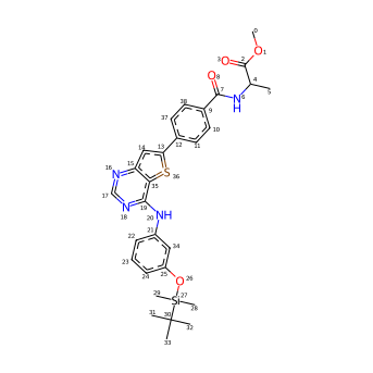 COC(=O)C(C)NC(=O)c1ccc(-c2cc3ncnc(Nc4cccc(O[Si](C)(C)C(C)(C)C)c4)c3s2)cc1